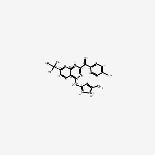 Cc1cc(Nc2nc(C(=O)c3ccc(F)cc3)nc3cc(C(F)(F)F)ccc23)n[nH]1